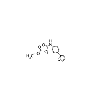 CCOC(=O)C1CC12C(=O)Nc1ccc(-c3ccco3)cc12